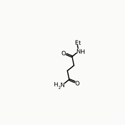 CCNC(=O)CCC(N)=O